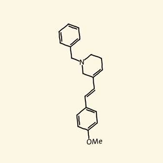 COc1ccc(C=CC2=CCCN(Cc3ccccc3)C2)cc1